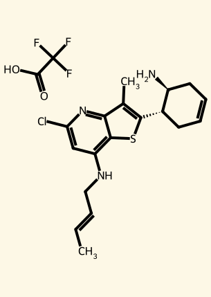 C/C=C/CNc1cc(Cl)nc2c(C)c([C@H]3CC=CC[C@@H]3N)sc12.O=C(O)C(F)(F)F